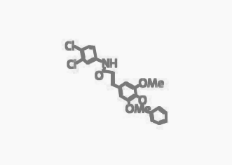 COc1cc(C=CC(=O)Nc2ccc(Cl)c(Cl)c2)cc(OC)c1OCc1ccccc1